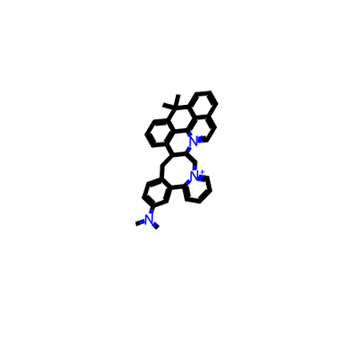 CN(C)c1ccc2c(c1)-c1cccc[n+]1CC1C(C2)c2cccc3c2-c2c4c(cccc4cc[n+]21)C3(C)C